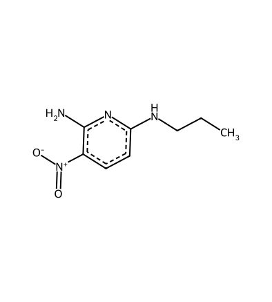 CCCNc1ccc([N+](=O)[O-])c(N)n1